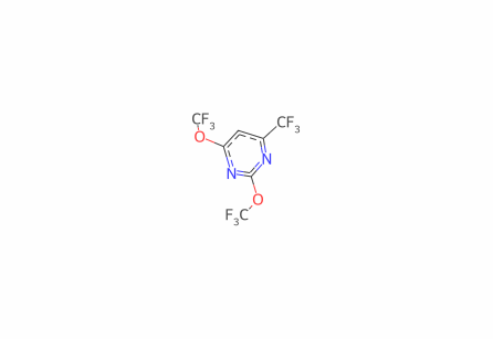 FC(F)(F)Oc1cc(C(F)(F)F)nc(OC(F)(F)F)n1